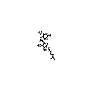 CN(C)OCCOC[C@H]1O[C@@H](n2cnc3c(N)nc(F)nc32)[C@H](O)[C@@H]1O